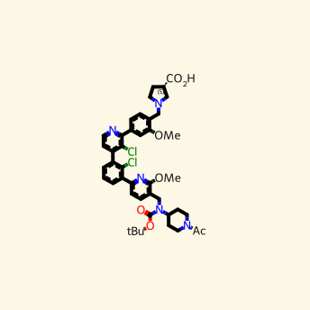 COc1cc(-c2nccc(-c3cccc(-c4ccc(CN(C(=O)OC(C)(C)C)C5CCN(C(C)=O)CC5)c(OC)n4)c3Cl)c2Cl)ccc1CN1CC[C@H](C(=O)O)C1